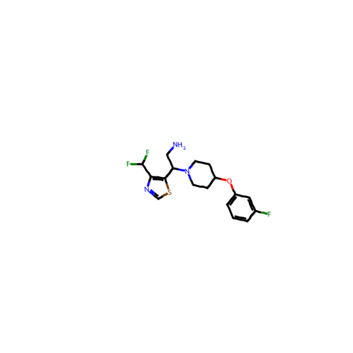 NCC(c1scnc1C(F)F)N1CCC(Oc2cccc(F)c2)CC1